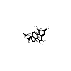 CC(=O)O[C@]1(C(C)=O)CC[C@H]2[C@@H]3[C@H](O)[C@@H](Cl)C4=CC(=O)OC(O)[C@]4(C)[C@H]3CC[C@@]21C